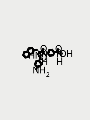 Nc1ccc(C(=O)N[C@@H](Cc2ccc3ccccc3c2)C(=O)Nc2ccc(C(=O)NO)cc2)cc1